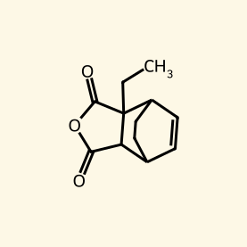 CCC12C(=O)OC(=O)C1C1C=CC2CC1